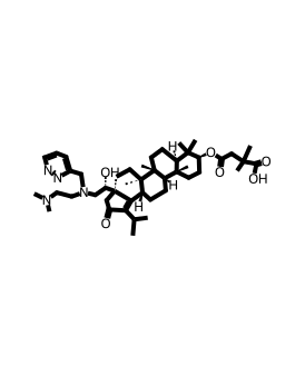 CC(C)C1=C2[C@H]3CC[C@@H]4[C@@]5(C)CC[C@H](OC(=O)CC(C)(C)C(=O)O)C(C)(C)[C@@H]5CC[C@@]4(C)[C@]3(C)CC[C@@]2([C@@H](O)CN(CCN(C)C)Cc2cccnn2)CC1=O